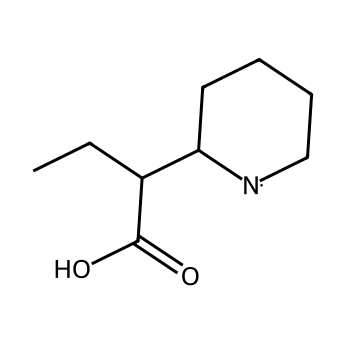 CCC(C(=O)O)C1CCCC[N]1